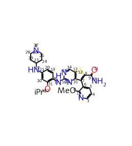 COc1ncccc1-c1c(C(N)=O)sc2cnc(Nc3ccc(NC4CCN(C)CC4)cc3OC(C)C)nc12